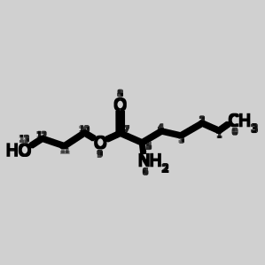 CCCCCC(N)C(=O)OCCCO